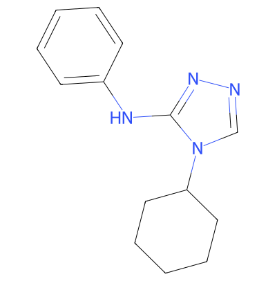 c1ccc(Nc2nncn2C2CCCCC2)cc1